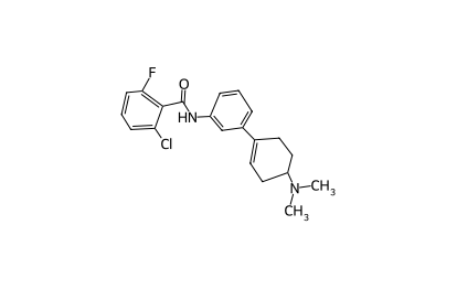 CN(C)C1CC=C(c2cccc(NC(=O)c3c(F)cccc3Cl)c2)CC1